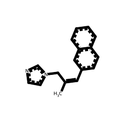 CC(=Cc1ccc2ccccc2c1)Cn1ccnc1